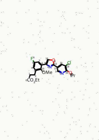 CCOC(=O)CCc1cc(F)cc(-c2coc(-c3cnc(OC(C)C)c(Cl)c3)n2)c1OC